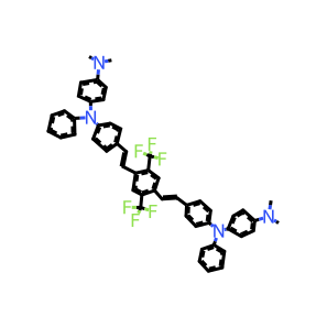 CN(C)c1ccc(N(c2ccccc2)c2ccc(C=Cc3cc(C(F)(F)F)c(C=Cc4ccc(N(c5ccccc5)c5ccc(N(C)C)cc5)cc4)cc3C(F)(F)F)cc2)cc1